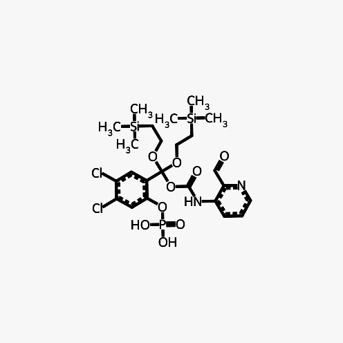 C[Si](C)(C)CCOC(OCC[Si](C)(C)C)(OC(=O)Nc1cccnc1C=O)c1cc(Cl)c(Cl)cc1OP(=O)(O)O